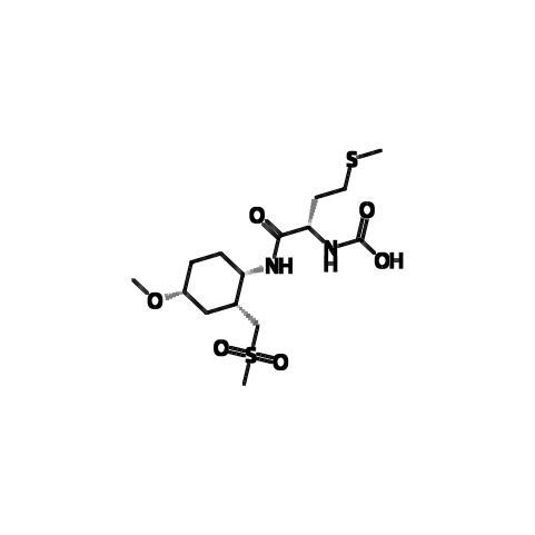 CO[C@@H]1CC[C@H](NC(=O)[C@H](CCSC)NC(=O)O)[C@H](CS(C)(=O)=O)C1